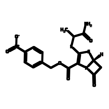 CC(SC1=C(C(=O)OCc2ccc([N+](=O)[O-])cc2)N2C(=O)C[C@H]2S1)C(N)=O